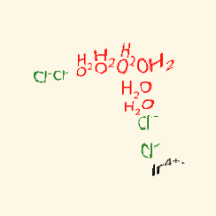 O.O.O.O.O.O.[Cl-].[Cl-].[Cl-].[Cl-].[Ir+4]